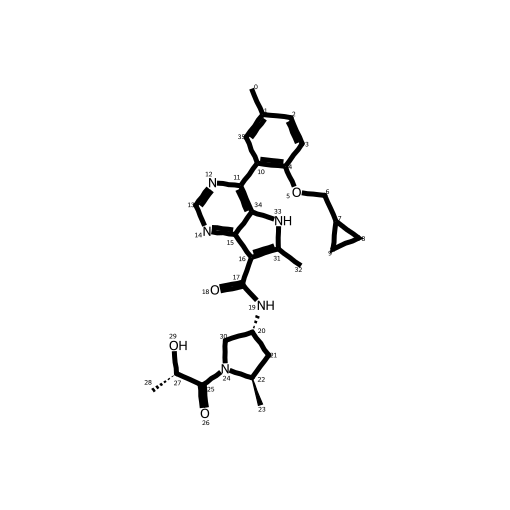 Cc1ccc(OCC2CC2)c(-c2ncnc3c(C(=O)N[C@@H]4C[C@@H](C)N(C(=O)[C@H](C)O)C4)c(C)[nH]c23)c1